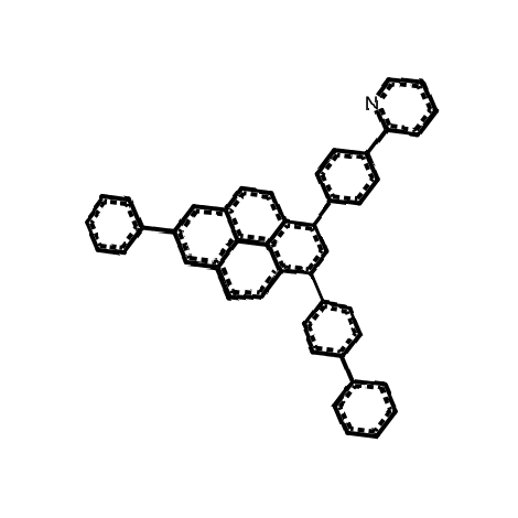 c1ccc(-c2ccc(-c3cc(-c4ccc(-c5ccccn5)cc4)c4ccc5cc(-c6ccccc6)cc6ccc3c4c65)cc2)cc1